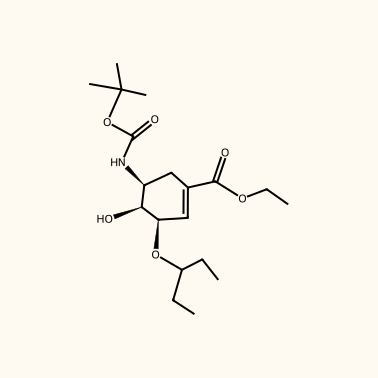 CCOC(=O)C1=C[C@@H](OC(CC)CC)[C@@H](O)[C@@H](NC(=O)OC(C)(C)C)C1